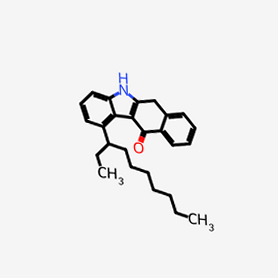 CCCCCCCC(CC)c1cccc2[nH]c3c(c12)C(=O)c1ccccc1C3